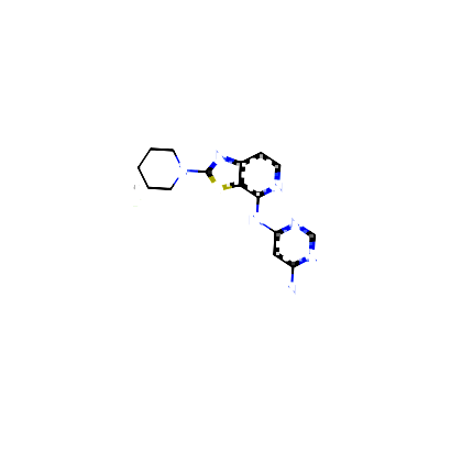 Nc1cc(Nc2nccc3nc(N4CCC[C@@H](F)C4)sc23)ncn1